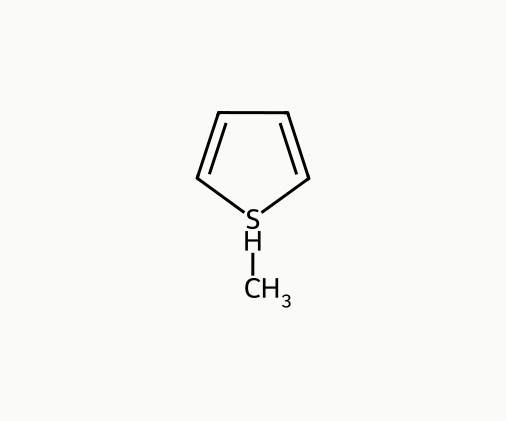 C[SH]1C=CC=C1